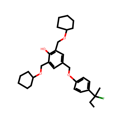 CCC(C)(F)c1ccc(OCc2cc(COC3CCCCC3)c(O)c(COC3CCCCC3)c2)cc1